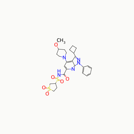 COC1CCN(c2cc(C(=O)NS(=O)(=O)C3CCS(=O)(=O)C3)nc3c2c(C2CCC2)nn3-c2ccccc2)CC1